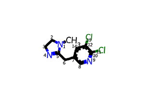 CN1CCN=C1Cc1cnc(Cl)c(Cl)c1